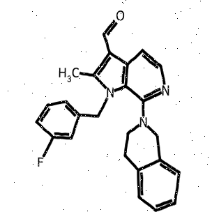 Cc1c(C=O)c2ccnc(N3CCc4ccccc4C3)c2n1Cc1cccc(F)c1